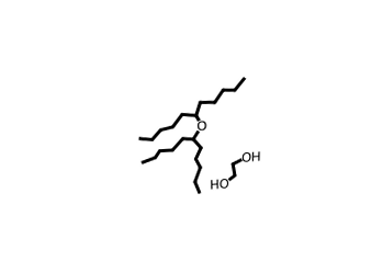 CCCCCC(CCCCC)OC(CCCCC)CCCCC.OCCO